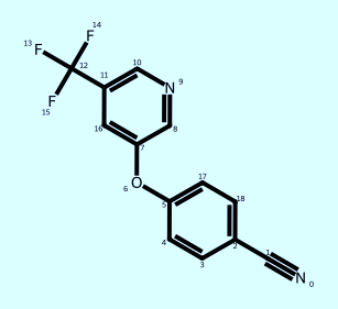 N#Cc1ccc(Oc2cncc(C(F)(F)F)c2)cc1